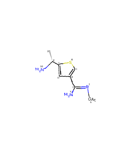 CC(=O)ON=C(N)c1csc([C@@H](C)N)c1